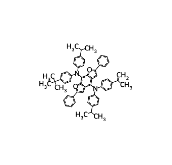 C=C(C)c1ccc(N(c2ccc(C(C)C)cc2)c2c3cc(-c4ccccc4)oc3c(N(c3ccc(C(C)C)cc3)c3ccc(C(C)(C)C)cc3)c3oc(-c4ccccc4)cc23)cc1